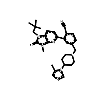 Cc1cncn1C1CCN(Cc2ccc(C#N)c(-c3ccc4c(n3)n(C)c(=O)n4CC(C)(C)C)c2)CC1